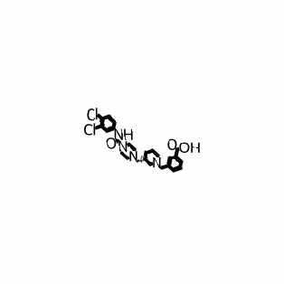 O=C(O)c1cccc(CN2CCC[C@@H](CN3CCN(C(=O)Nc4ccc(Cl)c(Cl)c4)CC3)C2)c1